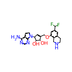 Nc1ncnc2c1ccn2C1C=C(COc2cc(C(F)F)cc3c2CNCC3)C(O)C1O